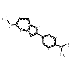 CSc1ccc2nc(-c3ccc(N(C)[11CH3])cc3)cn2c1